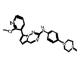 COc1ncccc1-c1ccc2cnc(Nc3ccc(N4CCN(C)CC4)cc3)nn12